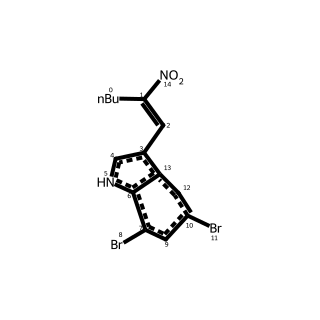 CCCC/C(=C\c1c[nH]c2c(Br)cc(Br)cc12)[N+](=O)[O-]